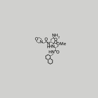 COC[C@H](NC(=O)[C@H](CC(N)=O)NC(=O)CN1CCOCC1)C(=O)NCc1cccc2ccccc12